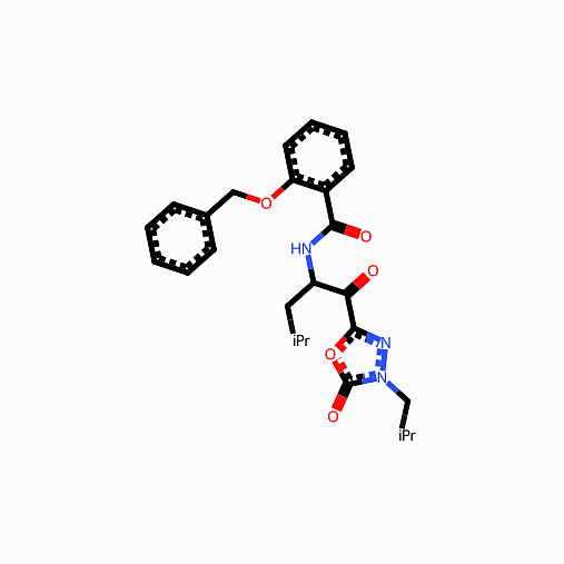 CC(C)CC(NC(=O)c1ccccc1OCc1ccccc1)C(=O)c1nn(CC(C)C)c(=O)o1